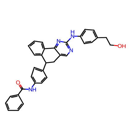 O=C(Nc1ccc(C2Cc3cnc(Nc4ccc(CCO)cc4)nc3-c3ccccc32)cc1)c1ccccc1